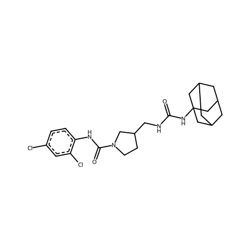 O=C(NCC1CCN(C(=O)Nc2ccc(Cl)cc2Cl)C1)NC12CC3CC(CC(C3)C1)C2